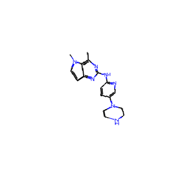 Cc1nc(Nc2ccc(N3CCNCC3)cn2)nc2ccn(C)c12